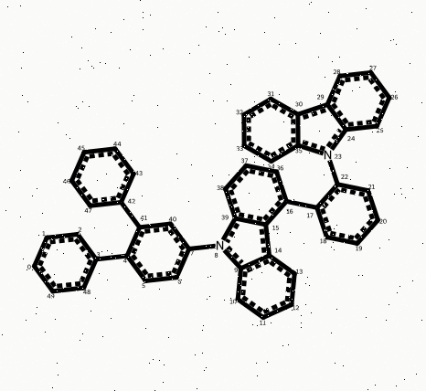 c1ccc(-c2ccc(-n3c4ccccc4c4c(-c5ccccc5-n5c6ccccc6c6ccccc65)cccc43)cc2-c2ccccc2)cc1